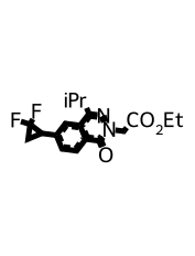 CCOC(=O)Cn1nc(C(C)C)c2cc(C3CC3(F)F)ccc2c1=O